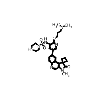 CN(C)CCCOc1ncc(-c2ccc3ncc4c(c3c2)C2(CCC2)C(=O)N4C)cc1NS(=O)(=O)N1CCNCC1